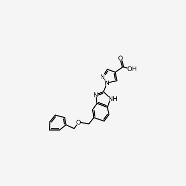 O=C(O)c1cnn(-c2nc3cc(COCc4ccccc4)ccc3[nH]2)c1